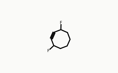 F[C]1C#CC(F)CCCC1